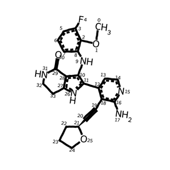 COc1c(F)cccc1Nc1c(-c2ccnc(N)c2C#C[C@@H]2CCCO2)[nH]c2c1C(=O)NCC2